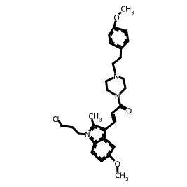 COc1ccc(CCN2CCN(C(=O)/C=C/c3c(C)n(CCCCl)c4ccc(OC)cc34)CC2)cc1